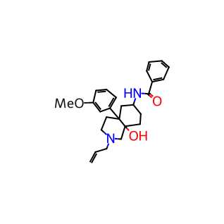 C=CCN1CCC2(c3cccc(OC)c3)CC(NC(=O)c3ccccc3)CCC2(O)C1